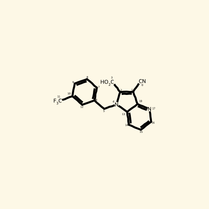 N#Cc1c(C(=O)O)n(Cc2cccc(C(F)(F)F)c2)c2cccnc12